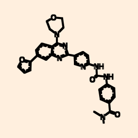 CN(C)C(=O)c1ccc(NC(=O)Nc2ccc(-c3nc(N4CCOCC4)c4ccc(-c5ccco5)cc4n3)cn2)cc1